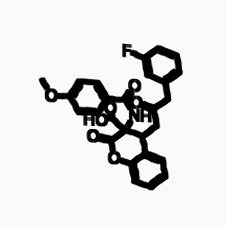 COc1ccc(C(=O)NC2(C(=O)O)C(=O)Oc3ccccc3C2CC(=O)Cc2cccc(F)c2)cc1